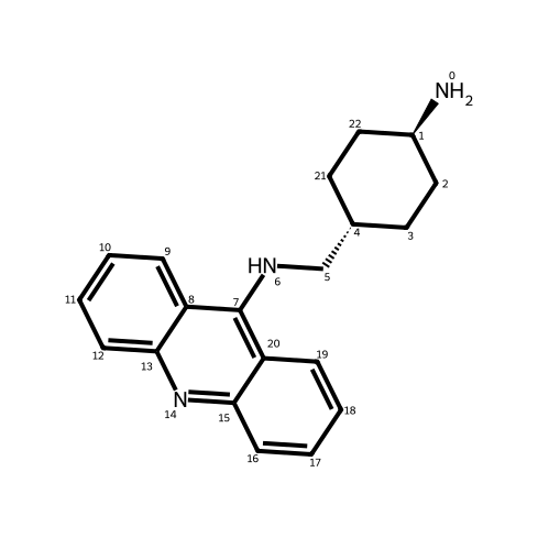 N[C@H]1CC[C@H](CNc2c3ccccc3nc3ccccc23)CC1